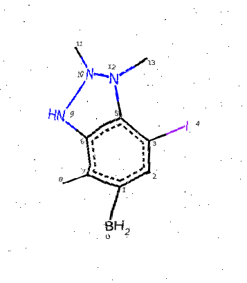 Bc1cc(I)c2c(c1C)NN(C)N2C